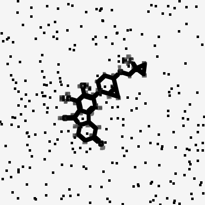 Cc1c(N2CCC(OCC3(C)CC3)C3CC32)nc2c(c1C)C(=O)N1CCC(=O)CC21